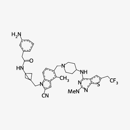 CNc1nc(NC2CCN(Cc3ccc4c(cc(C#N)n4CC45CC(NC(=O)Cc6cccc(N)c6)(C4)C5)c3C)CC2)c2cc(CC(F)(F)F)sc2n1